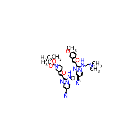 CNc1c(-c2cc3c(o2)CCN(C(=O)OC(C)(C)C)C3)nc2cc(C#N)ccn12.COc1ccc2oc(-c3nc4cc(C#N)ccn4c3NCCN(C)C)cc2c1